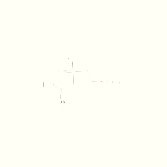 CCCCCCOP(C)(=O)C[PH](=O)O